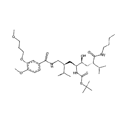 CCCCNC(=O)[C@@H](C[C@H](O)[C@H](C[C@H](CNC(=O)c1ccc(OC)c(OCCCOC)c1)C(C)C)NC(=O)OC(C)(C)C)C(C)C